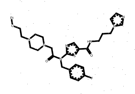 CCOCCN1CCN(CC(=O)N(Cc2ccc(F)cc2)c2ncc(C(=O)NCCCn3ccnc3)s2)CC1